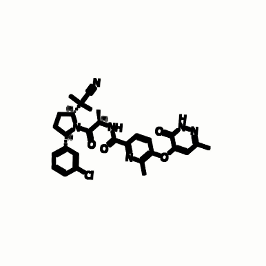 Cc1cc(Oc2ccc(C(=O)N[C@H](C)C(=O)N3[C@H](c4cccc(Cl)c4)CC[C@@H]3C(C)(C)C#N)nc2C)c(=O)[nH]n1